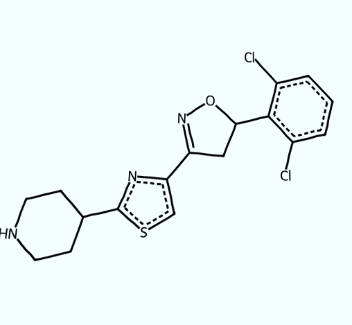 Clc1cccc(Cl)c1C1CC(c2csc(C3CCNCC3)n2)=NO1